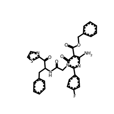 Nc1nc(-c2ccc(F)cc2)n(CC(=O)NC(Cc2ccccc2)C(=O)c2nccs2)c(=O)c1C(=O)OCc1ccccc1